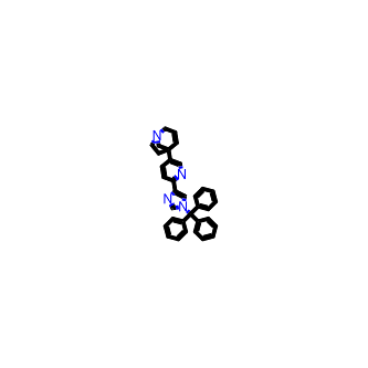 C1=CC2(c3ccc(-c4cn(C(c5ccccc5)(c5ccccc5)c5ccccc5)cn4)nc3)CCN(C1)C2